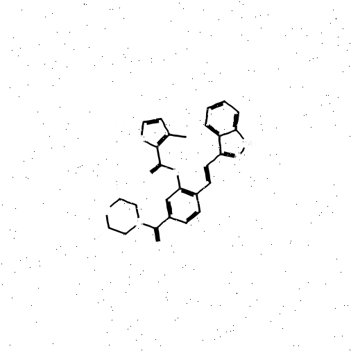 Cc1ccsc1C(=O)Nc1cc(C(=O)N2C[C@@H](C)O[C@@H](C)C2)ccc1C=Cc1n[nH]c2ccccc12.Cl